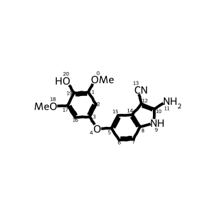 COc1cc(Oc2ccc3[nH]c(N)c(C#N)c3c2)cc(OC)c1O